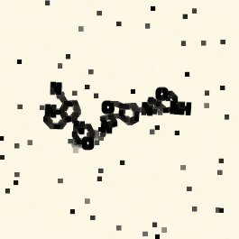 C[C@@H]1CN(c2ccc(C#N)c3ncccc23)C[C@H](CN2CC3(C2)OCc2cc(N4CC5(CNCCO5)C4)ccc23)O1